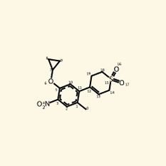 Cc1cc([N+](=O)[O-])c(OC2CC2)cc1C1=CCS(=O)(=O)CC1